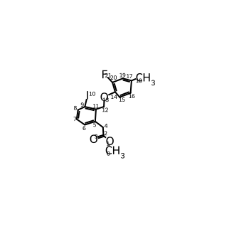 COC(=O)Cc1cccc(I)c1COc1ccc(C)cc1F